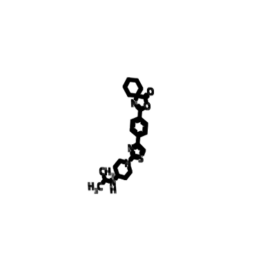 CC(C)NC1CCN(c2nc(-c3ccc(C4=NC5(CCCCC5)C(=O)O4)cc3)cs2)CC1